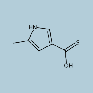 Cc1cc(C(O)=S)c[nH]1